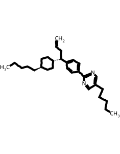 C=CCC(c1ccc(-c2ncc(CCCCC)cn2)cc1)[C@H]1CC[C@H](CCCCC)CC1